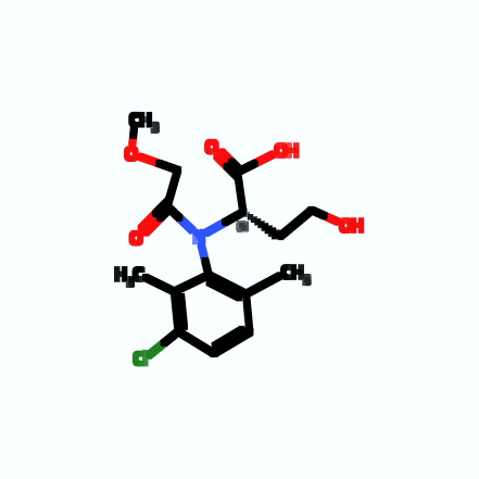 COCC(=O)N(c1c(C)ccc(Cl)c1C)[C@@H](CCO)C(=O)O